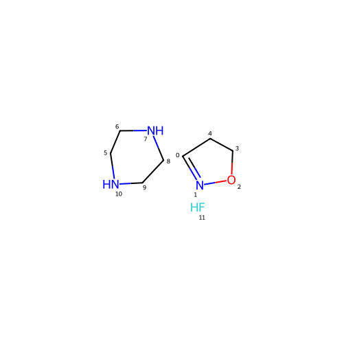 C1=NOCC1.C1CNCCN1.F